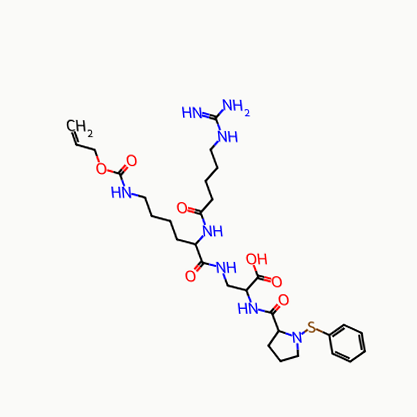 C=CCOC(=O)NCCCCC(NC(=O)CCCCNC(=N)N)C(=O)NCC(NC(=O)C1CCCN1Sc1ccccc1)C(=O)O